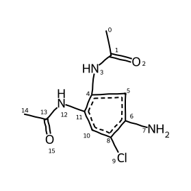 CC(=O)Nc1cc(N)c(Cl)cc1NC(C)=O